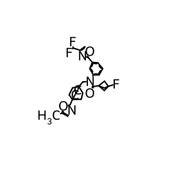 Cc1cnc(C23CCC(CN(C(=O)C45CC(F)(C4)C5)c4cccc(-c5nc(C(F)F)co5)c4)(CC2)CC3)o1